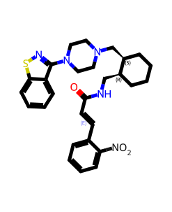 O=C(/C=C/c1ccccc1[N+](=O)[O-])NC[C@@H]1CCCC[C@@H]1CN1CCN(c2nsc3ccccc23)CC1